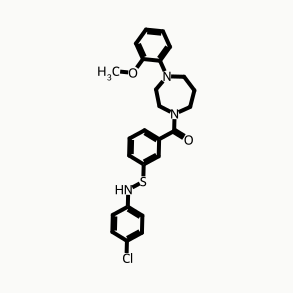 COc1ccccc1N1CCCN(C(=O)c2cccc(SNc3ccc(Cl)cc3)c2)CC1